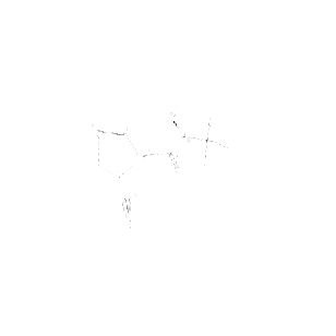 CC(C)(S)[C@H](N)C(=O)N1CCC[C@H]1C#N